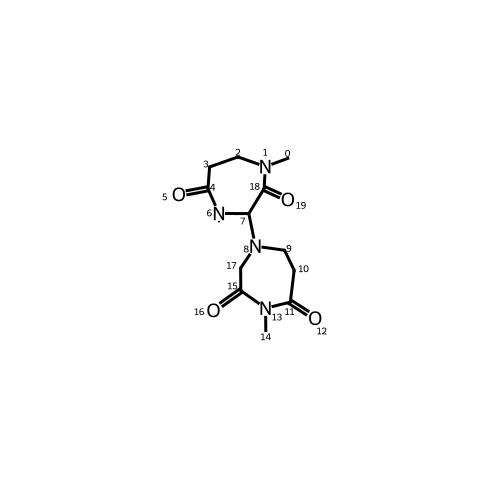 CN1CCC(=O)[N]C(N2CCC(=O)N(C)C(=O)C2)C1=O